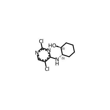 O[C@H]1CCCC[C@@H]1Nc1nc(Cl)ncc1Cl